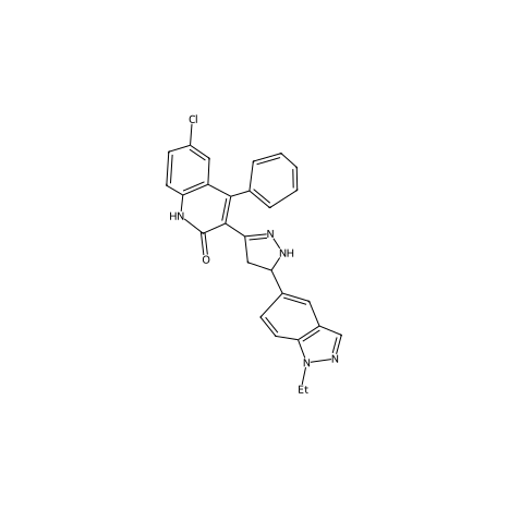 CCn1ncc2cc(C3CC(c4c(-c5ccccc5)c5cc(Cl)ccc5[nH]c4=O)=NN3)ccc21